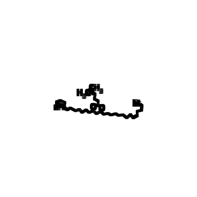 CC/C=C\C/C=C\CCCCCCCCC(CCCCCCCC/C=C\C/C=C\CCC)OC(=O)CCCN(C)C